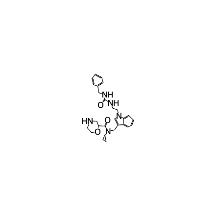 O=C(NCCn1cc(CN(C(=O)C2CNCCO2)C2CC2)c2ccccc21)NCc1ccccc1